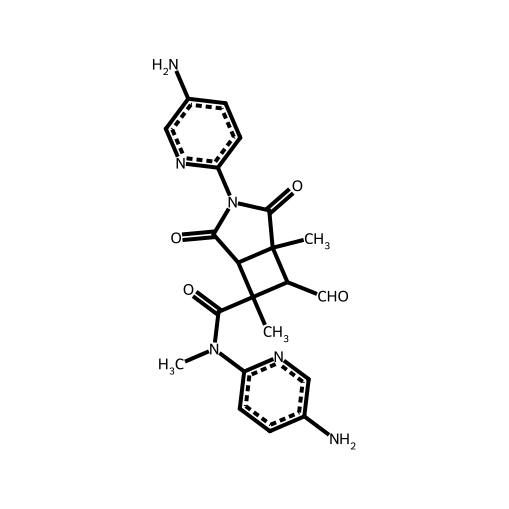 CN(C(=O)C1(C)C(C=O)C2(C)C(=O)N(c3ccc(N)cn3)C(=O)C12)c1ccc(N)cn1